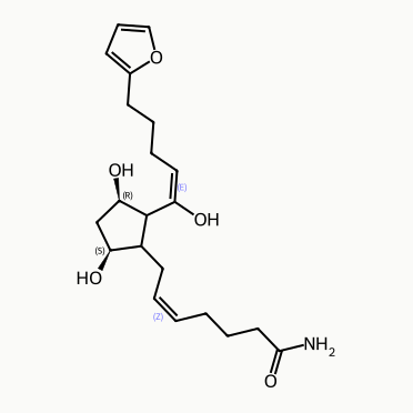 NC(=O)CCC/C=C\CC1C(/C(O)=C\CCCc2ccco2)[C@H](O)C[C@@H]1O